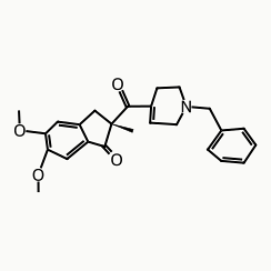 COc1cc2c(cc1OC)C(=O)[C@@](C)(C(=O)C1=CCN(Cc3ccccc3)CC1)C2